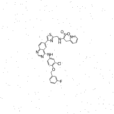 O=S(=O)=C(Cc1ccccn1)NCc1nc(-c2ccc3ncnc(Nc4ccc(OCc5cccc(F)c5)c(Cl)c4)c3c2)cs1